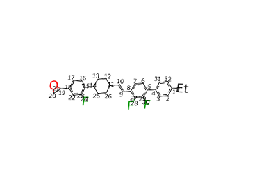 CCc1ccc(-c2ccc(/C=C/C3CCC(c4ccc(C5CO5)cc4F)CC3)c(F)c2F)cc1